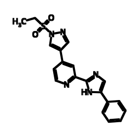 CCS(=O)(=O)n1cc(-c2ccnc(-c3ncc(-c4ccccc4)[nH]3)c2)cn1